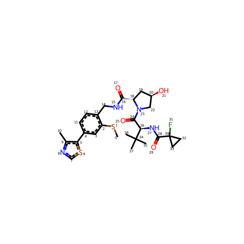 CSc1cc(-c2scnc2C)ccc1CNC(=O)[C@@H]1C[C@@H](O)CN1C(=O)[C@@H](NC(=O)C1(F)CC1)C(C)(C)C